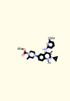 COc1cccc(N[C@H]2c3cc(N4CCN(C(=O)OC(C)(C)C)C(C)C4)ccc3N(C(C)=O)[C@@H](C3CC3)[C@@H]2C)n1